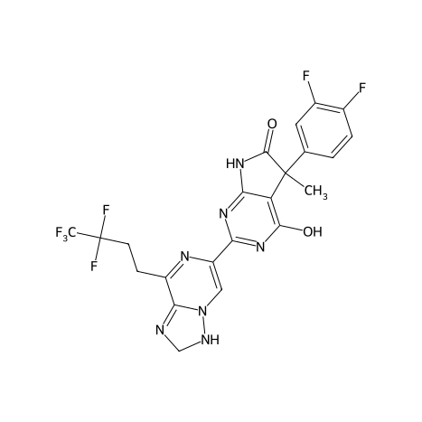 CC1(c2ccc(F)c(F)c2)C(=O)Nc2nc(C3=CN4NCN=C4C(CCC(F)(F)C(F)(F)F)=N3)nc(O)c21